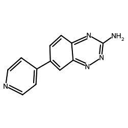 Nc1nnc2cc(-c3ccncc3)ccc2n1